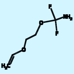 C=COCCOC(N)(F)F